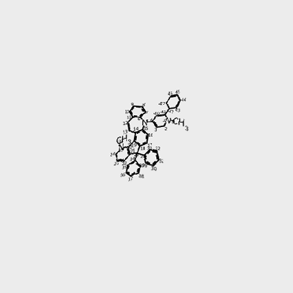 CN1CC=C(N2c3ccccc3C=Cc3c2ccc2c3C3=C(C=CCN3C)C2(c2ccccc2)c2ccccc2)C=C1C1C=CC=CC1